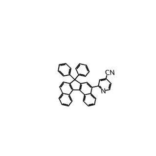 N#Cc1ccnc(-c2cc3c(c4ccccc24)-c2c(ccc4ccccc24)C3(c2ccccc2)c2ccccc2)c1